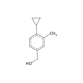 Cc1cc([CH]O)ccc1C1CC1